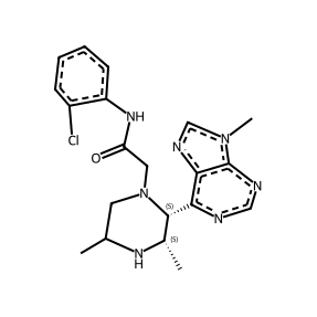 CC1CN(CC(=O)Nc2ccccc2Cl)[C@H](c2ncnc3c2ncn3C)[C@H](C)N1